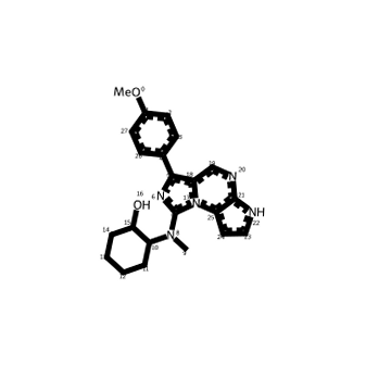 COc1ccc(-c2nc(N(C)C3CCCCC3O)n3c2cnc2[nH]ccc23)cc1